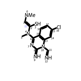 CN/C=C(\S)N(C)c1nc(=N)n(C=N)c2cc(Cl)ccc12